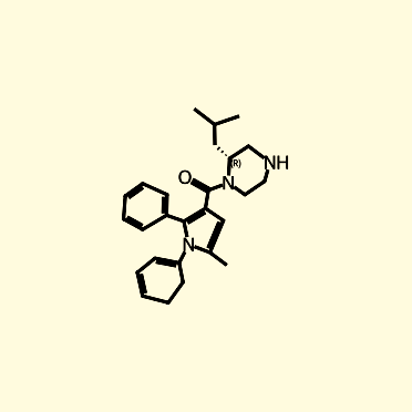 Cc1cc(C(=O)N2CCNC[C@H]2CC(C)C)c(-c2ccccc2)n1C1=CC=CCC1